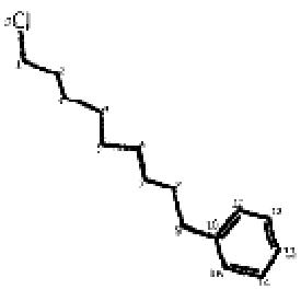 ClCCCCCCCCCc1ccccc1